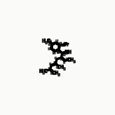 C=C(C)/C=C(\C)C/C(=C/C)C(=N)c1ccc(C)cc1C(C)C